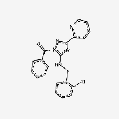 O=C(c1ccccc1)n1nc(-c2ccccn2)nc1NCc1ccccc1Cl